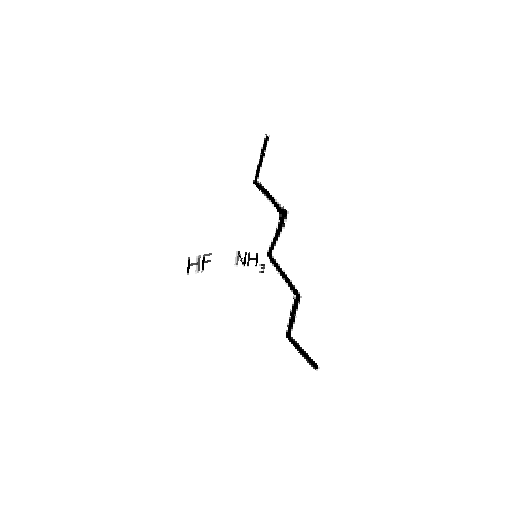 CCCCCCC.F.N